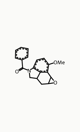 COc1ccc2c3c1C1OC1CC3CN2C(=O)c1ccccc1